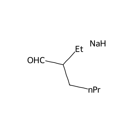 CCCCC(C=O)CC.[NaH]